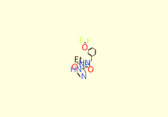 CCC(=O)NC1(C(=O)NCc2cccc(OC(F)F)c2)C=NC=CN1